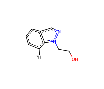 [2H]c1cccc2cnn(CCO)c12